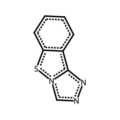 c1ccc2c(c1)sn1cnnc21